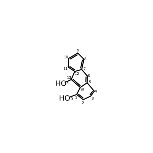 Oc1cccc2cc3ccccc3c(O)c12